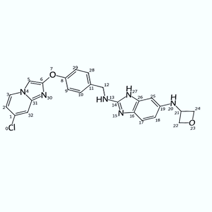 Clc1ccn2cc(Oc3ccc(CNc4nc5ccc(NC6COC6)cc5[nH]4)cc3)nc2c1